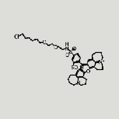 O=S(=O)(O)c1cc(S(=O)(=O)NCCOCCOCCCCCCCl)ccc1C1=c2cc3c4c(c2Oc2c1cc1c5c2CCCN5CCCC1)CCC[N+]=4CCCC3